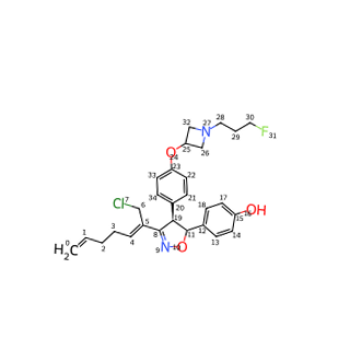 C=CCC/C=C(\CCl)C1=NOC(c2ccc(O)cc2)[C@@H]1c1ccc(OC2CN(CCCF)C2)cc1